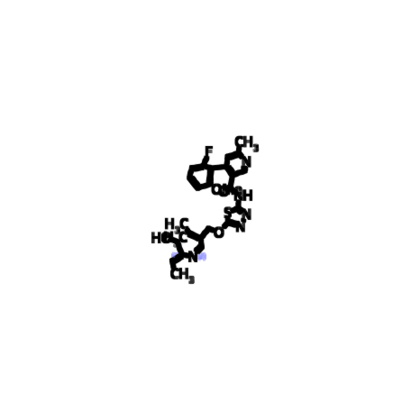 C/C=C(CO)\N=C/C(COc1nnc(NC(=O)c2cnc(C)cc2-c2c(F)cccc2OC)s1)=C(C)C